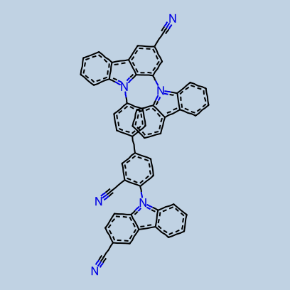 N#Cc1ccc2c(c1)c1ccccc1n2-c1ccc(-c2ccc(-n3c4ccccc4c4cc(C#N)cc(-n5c6ccccc6c6ccccc65)c43)cc2)cc1C#N